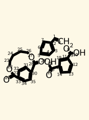 C=Cc1ccccc1.O=C(O)c1cccc(C(=O)O)c1.O=C1OCCCCOC(=O)c2ccc1cc2